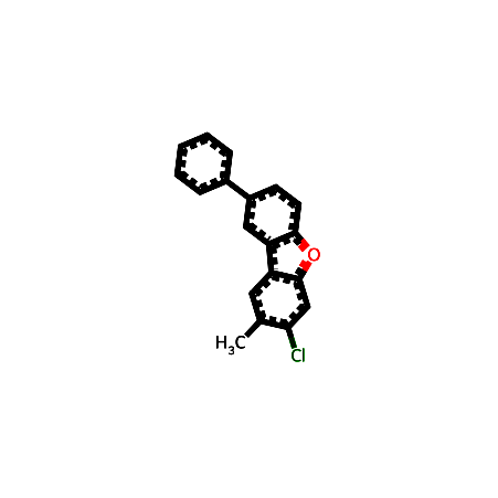 Cc1cc2c(cc1Cl)oc1ccc(-c3ccccc3)cc12